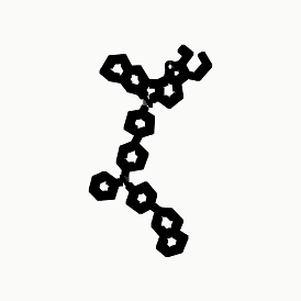 C=Cc1oc2c(ccc3c2c2cc4ccccc4cc2n3-c2ccc(-c3ccc(N(c4ccccc4)c4ccc(-c5ccc6ccccc6c5)cc4)cc3)cc2)c1/C=C\C